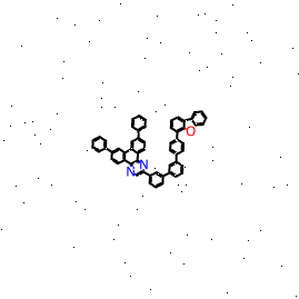 c1ccc(-c2ccc3c(c2)c2cc(-c4ccccc4)ccc2c2nc(-c4cccc(-c5cccc(-c6ccc(-c7cccc8c7oc7ccccc78)cc6)c5)c4)cnc32)cc1